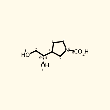 O=C(O)N1CCC([C@H](O)CO)C1